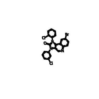 O=c1n(-c2cccc(Cl)c2)c2cnc3ccc(Br)cc3c2n1-c1ccccc1Cl